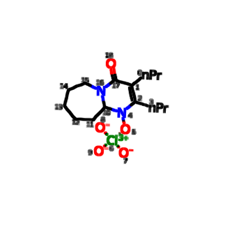 CCCC1=C(CCC)N(O[Cl+3]([O-])([O-])[O-])C2CCCCCN2C1=O